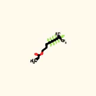 C=CC(=O)OCCCC(F)(F)C(F)(F)C(F)(F)C(F)(F)C(F)(C(F)(F)F)C(F)(F)F